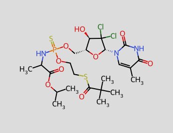 Cc1cn([C@@H]2O[C@H](COP(=S)(NC(C)C(=O)OC(C)C)OCCSC(=O)C(C)(C)C)[C@@H](O)C2(Cl)Cl)c(=O)[nH]c1=O